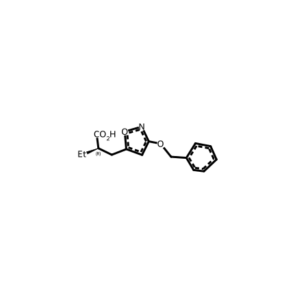 CC[C@H](Cc1cc(OCc2ccccc2)no1)C(=O)O